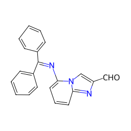 O=Cc1cn2c(N=C(c3ccccc3)c3ccccc3)cccc2n1